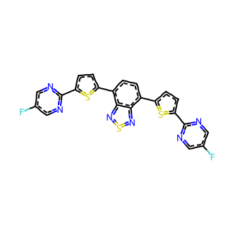 Fc1cnc(-c2ccc(-c3ccc(-c4ccc(-c5ncc(F)cn5)s4)c4nsnc34)s2)nc1